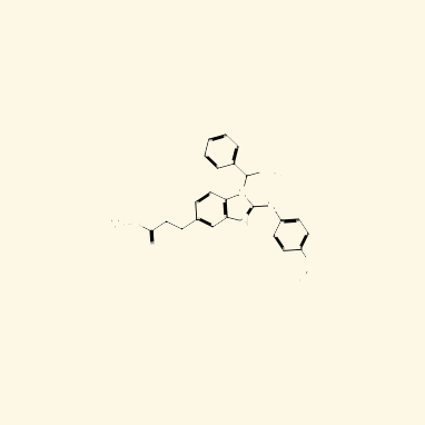 COC(=O)CCc1ccc2c(c1)nc(Nc1ccc(OC(F)(F)F)cc1)n2C(c1ccccc1)C(C)(C)C